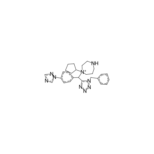 c1ccc(Cn2nnnc2C(c2ccc(-n3cncn3)cc2)[N+]2(C3CCCC3)CCCNCC2)cc1